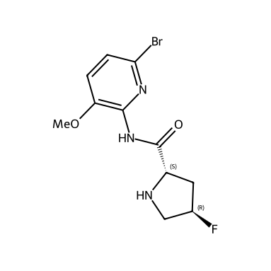 COc1ccc(Br)nc1NC(=O)[C@@H]1C[C@@H](F)CN1